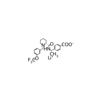 C[C@H](NC(=O)[C@H]1CCCCN1Cc1cccc(OC(F)(F)F)c1)c1ccc(C(=O)[O-])cc1.[Li+]